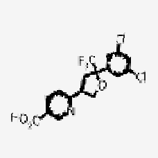 O=C(O)c1ccc(C2=CC(c3cc(Cl)cc(Cl)c3)(C(F)(F)F)OC2)nc1